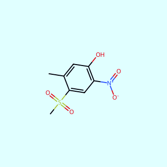 Cc1cc(O)c([N+](=O)[O-])cc1S(C)(=O)=O